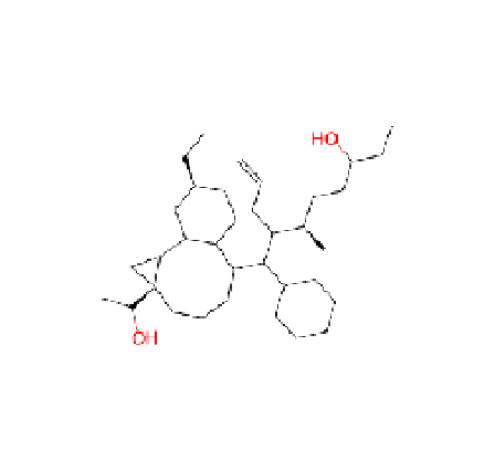 C=CCC(C(C1CCCCC1)C1CCC[C@]2(C(C)O)CC2C2C[C@@H](CC)CCC12)[C@H](C)CCC(O)CC